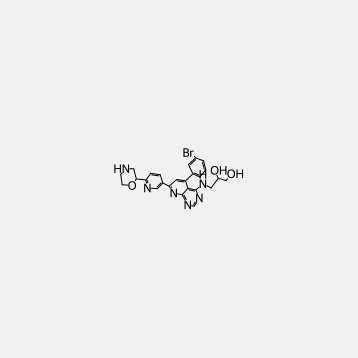 OCC(O)CNc1ncnc2nc(-c3ccc(C4CNCCO4)nc3)cc(-c3cccc(Br)c3)c12